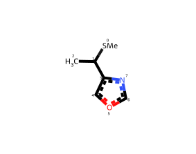 CSC(C)c1cocn1